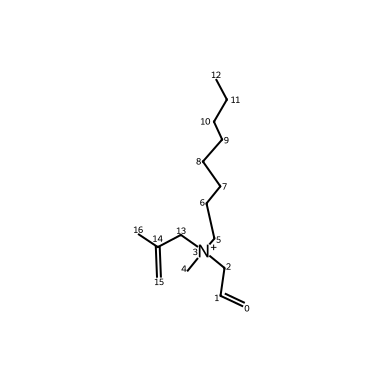 C=CC[N+](C)(CCCCCCCC)CC(=C)C